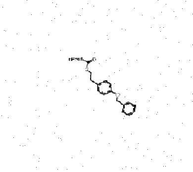 CCCCCC(=O)OCCc1ccc(OCc2ccccc2)cc1